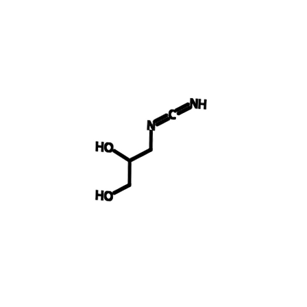 N=C=NCC(O)CO